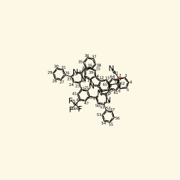 N#Cc1ccccc1-c1ccc2c(c1)c1ccccc1n2-c1c(-c2cc(-c3ccccc3)nc(-c3ccccc3)n2)cc(C(F)(F)F)cc1-c1cc(-c2ccccc2)nc(-c2ccccc2)n1